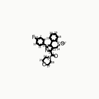 O=C(c1nn(-c2ccc(F)cc2)c2c1C[S+]([O-])c1ccccc1-2)N1CCOCC1